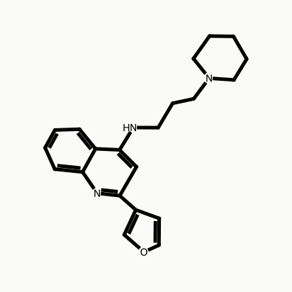 c1ccc2c(NCCCN3CCCCC3)cc(-c3ccoc3)nc2c1